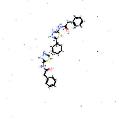 O=C(Cc1ccccc1)Nc1nnc([C@H]2CCC[C@H](c3nnc(NC(=O)Cc4ccccc4)s3)C2)s1